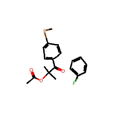 CSc1ccc(C(=O)C(C)(C)OC(C)=O)cc1.Fc1ccccc1